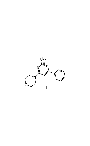 CCCC[n+]1cc(-c2ccccc2)cc(N2CCOCC2)n1.[I-]